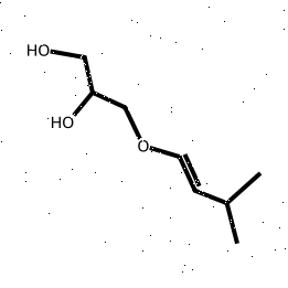 CC(C)C=COCC(O)CO